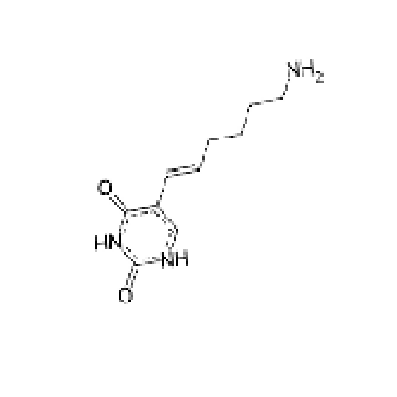 NCCCCC=Cc1c[nH]c(=O)[nH]c1=O